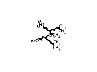 C=CC(CC=COC(=O)CC)CCC=C(C)C.C=CC(CC=COC(C)=O)CCC=C(C)C